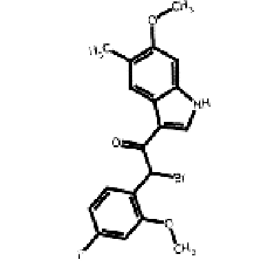 COc1cc2[nH]cc(C(=O)C(Br)c3ccc(F)cc3OC)c2cc1C